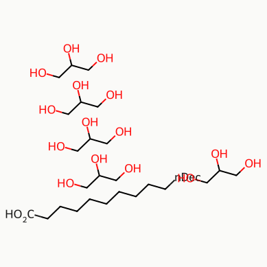 CCCCCCCCCCCCCCCCCCCC(=O)O.OCC(O)CO.OCC(O)CO.OCC(O)CO.OCC(O)CO.OCC(O)CO